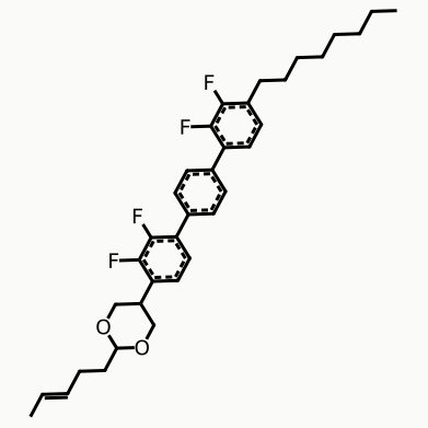 C/C=C/CCC1OCC(c2ccc(-c3ccc(-c4ccc(CCCCCCCC)c(F)c4F)cc3)c(F)c2F)CO1